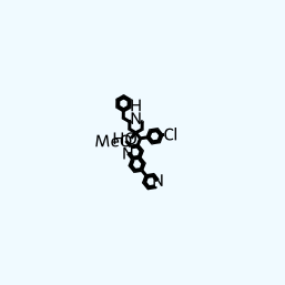 COc1nc2ccc(-c3cccnc3)cc2cc1C(c1ccc(Cl)cc1)C1(O)CCNC(Cc2ccccc2)C1